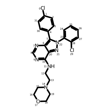 Clc1ccc(-c2c3ncnc(NCCN4CCOCC4)c3nn2-c2ccccc2Cl)cc1